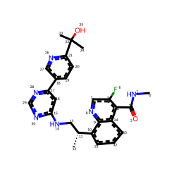 CNC(=O)c1c(F)cnc2c([C@H](C)CNc3cc(-c4ccc(C(C)(C)O)nc4)ncn3)cccc12